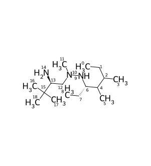 CCC(C)C(C)[C@H](CC)NN(C)C[C@H](N)C(C)(C)C